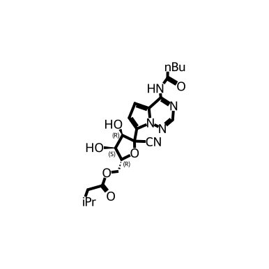 CCCCC(=O)Nc1ncnn2c(C3(C#N)O[C@H](COC(=O)CC(C)C)[C@@H](O)[C@H]3O)ccc12